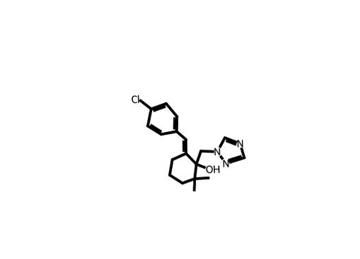 CC1(C)CCCC(=Cc2ccc(Cl)cc2)C1(O)Cn1cncn1